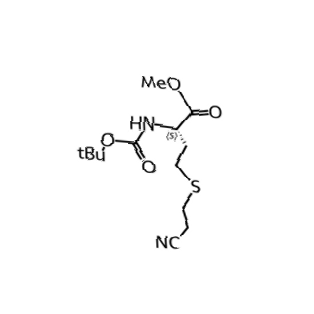 COC(=O)[C@H](CCSCCC#N)NC(=O)OC(C)(C)C